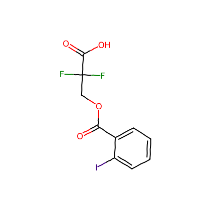 O=C(OCC(F)(F)C(=O)O)c1ccccc1I